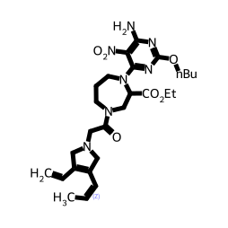 C=CC1=C(/C=C\C)CN(CC(=O)N2CCCN(c3nc(OCCCC)nc(N)c3[N+](=O)[O-])C(C(=O)OCC)C2)C1